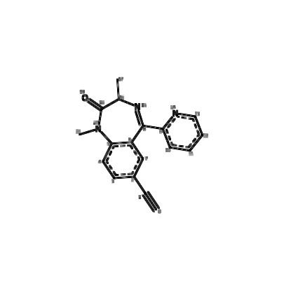 C#Cc1ccc2c(c1)C(c1ccccn1)=NC(C)C(=O)N2C